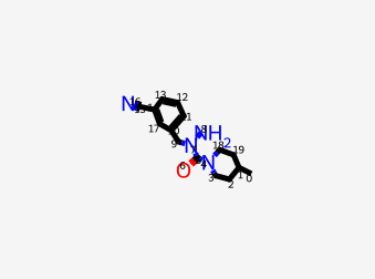 CC1CCN(C(=O)N(N)Cc2cccc(C#N)c2)CC1